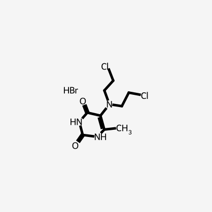 Br.Cc1[nH]c(=O)[nH]c(=O)c1N(CCCl)CCCl